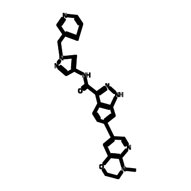 CN1CCOc2cc(-c3ccc4c(C(=O)Nc5cnn(Cc6cccnc6)c5)n[nH]c4c3)cnc21